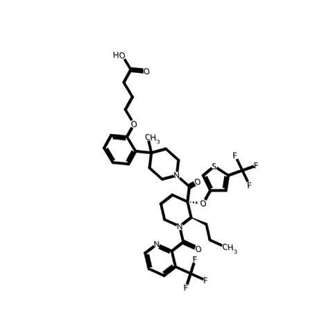 CCC[C@H]1N(C(=O)c2ncccc2C(F)(F)F)CCC[C@@]1(Oc1csc(C(F)(F)F)c1)C(=O)N1CCC(C)(c2ccccc2OCCCC(=O)O)CC1